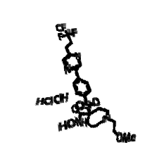 COCCN1CCC(C(=O)NO)(S(=O)(=O)c2ccc(-c3cnc(CCC(F)(F)C(F)(F)F)cn3)cc2)CC1.Cl.Cl